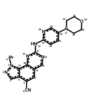 CC(C)n1ncc2c(C#N)cc3cnc(Nc4ccc(N5CCOCC5)cn4)nc3c21